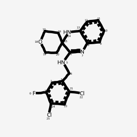 Fc1cc(CNC2=Nc3ccccc3NC23CCOCC3)c(Cl)cc1Cl